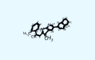 Cc1ccccc1/C(Cl)=C\C1=Nc2ncc(-c3ccc4ccccc4c3)cc2C1C